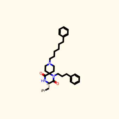 CC(C)C[C@@H]1NC(=O)C2(CCN(CCCCCCc3ccccc3)CC2)N(CCCc2ccccc2)C1=O